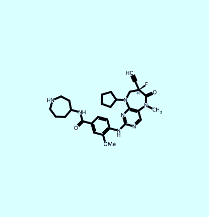 C#C[C@@]1(F)CN(C2CCCC2)c2nc(Nc3ccc(C(=O)NC4CCCNCC4)cc3OC)ncc2N(C)C1=O